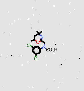 CC1CC(C)(C)N=C(CN(C(=O)O)c2cc(Cl)cc(Cl)c2)O1